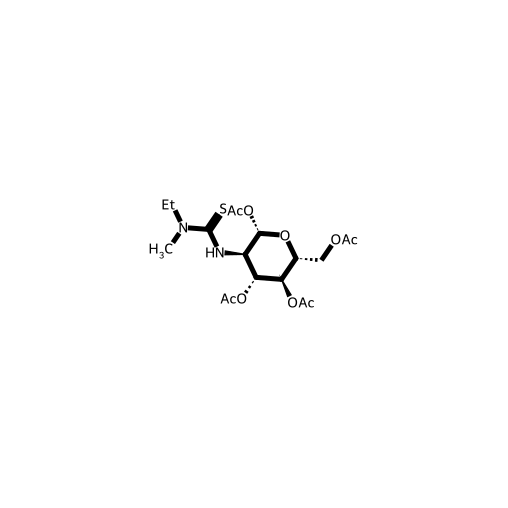 CCN(C)C(=S)N[C@H]1[C@H](OC(C)=O)O[C@H](COC(C)=O)[C@@H](OC(C)=O)[C@@H]1OC(C)=O